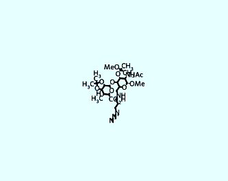 CO[C@@H]1OC(CNCCCN=[N+]=[N-])[C@@H](O[C@@H]2OC(C(=O)O)[C@@H](C)[C@@H]3OC(C)(C)OC23)[C@H](OC(C)(C)OC)C1NC(C)=O